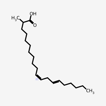 CCCCCC=CC/C=C\CCCCCCCCC(C)C(=O)O